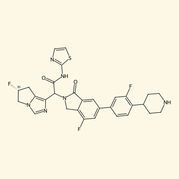 O=C(Nc1nccs1)C(c1ncn2c1C[C@@H](F)C2)N1Cc2c(F)cc(-c3ccc(C4CCNCC4)c(F)c3)cc2C1=O